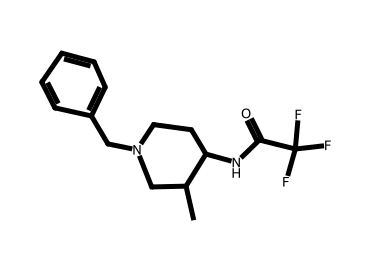 CC1CN(Cc2ccccc2)CCC1NC(=O)C(F)(F)F